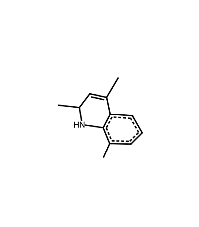 CC1=CC(C)Nc2c(C)cccc21